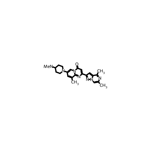 CNC1CCN(c2cc(C)c3nc(-c4cc5c(C)nc(C)cn5n4)cc(=O)n3c2)CC1